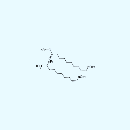 CCCCCCCC/C=C\CCCCCCC(CCC)C(=O)O.CCCCCCCC/C=C\CCCCCCCC(=O)OCCC